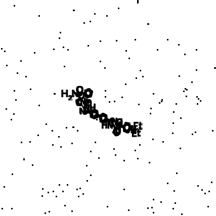 CCN(CC)C1CCC(C(=O)N2CCC[C@H]2c2ncc(-c3ccc(-c4ccc(-c5cnc([C@@H]6CCCN6C(=O)[C@H]6CCCC[C@H]6OC(N)=O)[nH]5)cc4)cc3)[nH]2)CC1